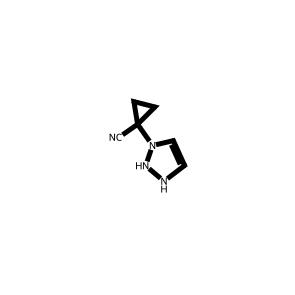 N#CC1(N2C=CNN2)CC1